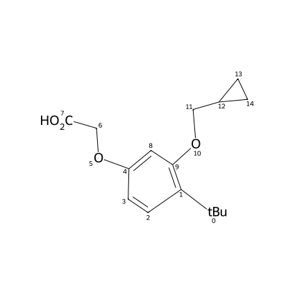 CC(C)(C)c1ccc(OCC(=O)O)cc1OCC1CC1